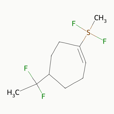 CC(F)(F)C1CCC=C(S(C)(F)F)CC1